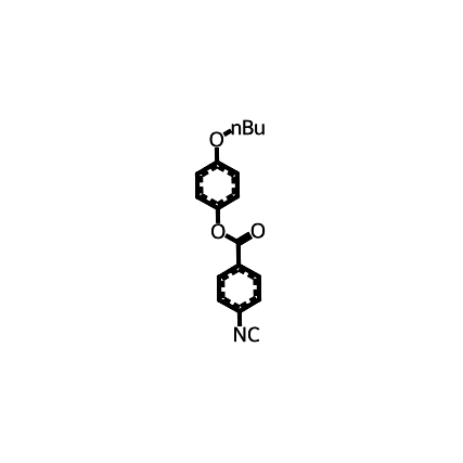 [C-]#[N+]c1ccc(C(=O)Oc2ccc(OCCCC)cc2)cc1